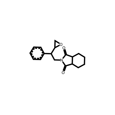 O=C1C2CCCCC2C(=O)N1CC(c1ccccc1)C1CO1